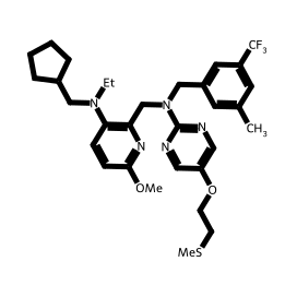 CCN(CC1CCCC1)c1ccc(OC)nc1CN(Cc1cc(C)cc(C(F)(F)F)c1)c1ncc(OCCSC)cn1